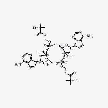 CCC(C)(C)C(=O)OCOP1(=O)C/C=C2/O[C@@H](n3cnc4c(N)ncnc43)[C@H](F)[C@@H]2OP(=O)(OCOC(=O)C(C)(C)CC)OC[C@H]2O[C@@H](n3cnc4c(N)ncnc43)[C@H](F)[C@@H]2O1